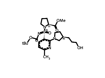 COC(=O)[C@@H]1CCCN1[S@@](=O)(=NC(=O)OC(C)(C)C)c1ccc(C)nc1N1CC[C@@H](CCCO)C1